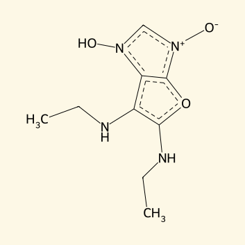 CCNc1oc2c(c1NCC)n(O)c[n+]2[O-]